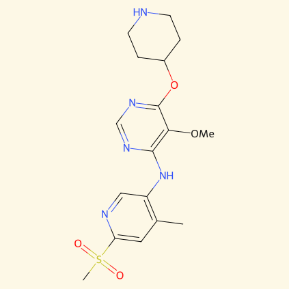 COc1c(Nc2cnc(S(C)(=O)=O)cc2C)ncnc1OC1CCNCC1